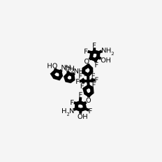 Nc1c(O)c(F)c(Oc2ccc(C(c3ccc(Oc4c(F)c(O)c(N)c(F)c4F)cc3)(C(F)(F)F)C(F)(F)F)cc2)c(F)c1F.Nc1ccccc1O.Nc1ccccc1O